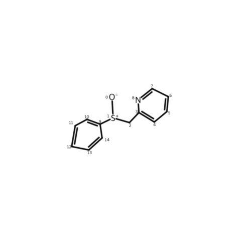 [O-][S+](Cc1ccccn1)c1ccccc1